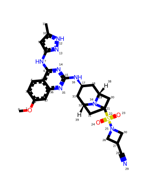 COc1ccc2c(Nc3cc(C)[nH]n3)nc(N[C@H]3C[C@@H]4CC5(S(=O)(=O)N6CC(C#N)C6)C[C@H](C3)N45)nc2c1